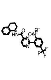 O=C(N[C@H]1CCCc2ccccc21)c1ccnc(-c2cc(C(F)(F)F)ccc2[N+](=O)[O-])n1